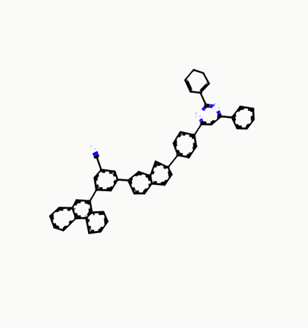 N#Cc1cc(-c2ccc3ccc(-c4ccc(-c5cc(-c6ccccc6)nc(C6=CCCC=C6)n5)cc4)cc3c2)cc(-c2cc3ccccc3c3ccccc23)c1